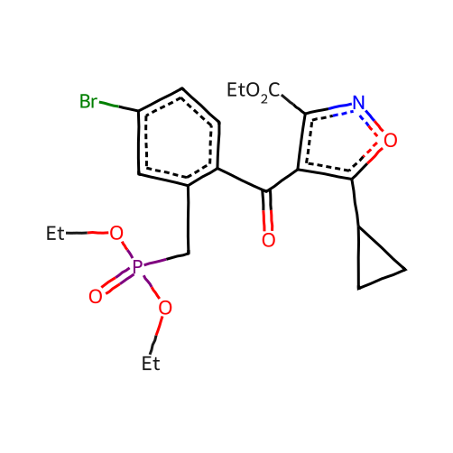 CCOC(=O)c1noc(C2CC2)c1C(=O)c1ccc(Br)cc1CP(=O)(OCC)OCC